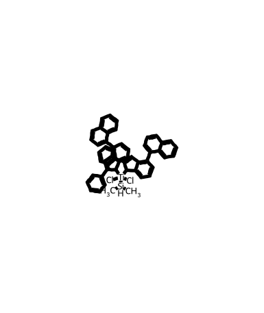 C[SiH](C)[Ti]([Cl])([Cl])([CH]1C(c2ccccc2)=Cc2c(-c3cccc4ccccc34)cccc21)[CH]1C(c2ccccc2)=Cc2c(-c3cccc4ccccc34)cccc21